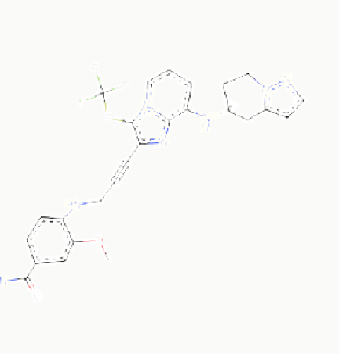 CNC(=O)c1ccc(NCC#Cc2nc3c(N[C@@H]4CCn5nccc5C4)cccn3c2SC(F)(F)F)c(OC)c1